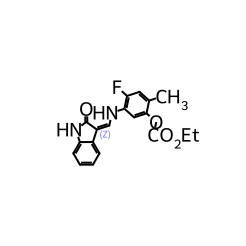 CCOC(=O)Oc1cc(N/C=C2\C(=O)Nc3ccccc32)c(F)cc1C